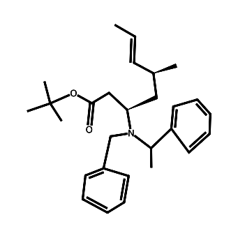 C/C=C/[C@@H](C)C[C@H](CC(=O)OC(C)(C)C)N(Cc1ccccc1)C(C)c1ccccc1